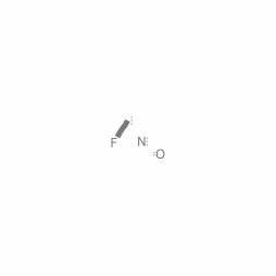 [C]F.[N].[O]